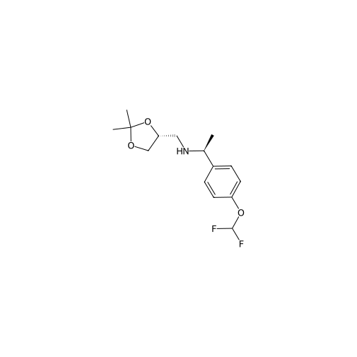 C[C@H](NC[C@@H]1COC(C)(C)O1)c1ccc(OC(F)F)cc1